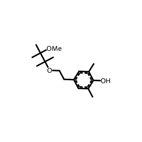 COC(C)(C)C(C)(C)OCCc1cc(C)c(O)c(C)c1